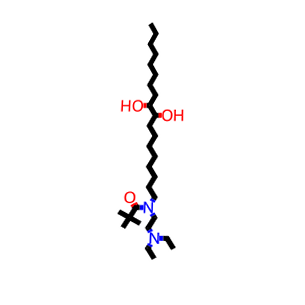 CCCCCCCCC(O)C(O)CCCCCCCCN(CCN(CC)CC)C(=O)C(C)(C)C